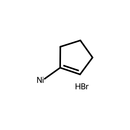 Br.[Ni][C]1=CCCC1